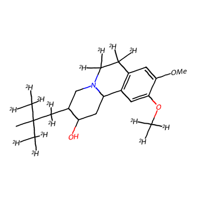 [2H]C([2H])([2H])Oc1cc2c(cc1OC)C([2H])([2H])C([2H])([2H])N1CC(C([2H])([2H])C(C)(C([2H])([2H])[2H])C([2H])([2H])[2H])C(O)CC21